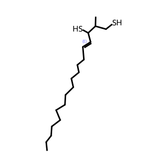 CCCCCCCCCCCCC/C=C/C(S)C(C)CS